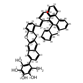 Bc1c(O)c(O)c(O)c(O)c1-c1ccc2cc3c(cc2c1)Oc1cccc(/C=c2\cccc\c2=C(\c2ccccc2C)c2ccccc2-c2ccccc2)c1C3